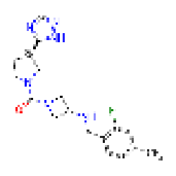 O=C(N1CC(NCc2ccc(C(F)(F)F)cc2F)C1)N1CC[C@@H](c2ncn[nH]2)C1